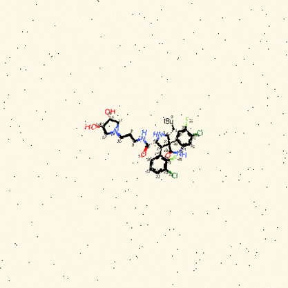 CC(C)(C)C[C@H]1N[C@@H](C(=O)NCCCN2C[C@@H](O)[C@H](O)C2)[C@H](c2cccc(Cl)c2F)[C@@]12C(=O)Nc1cc(Cl)c(F)cc12